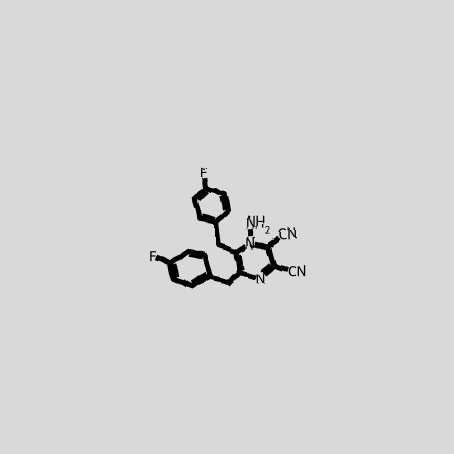 N#CC1=NC(Cc2ccc(F)cc2)=C(Cc2ccc(F)cc2)N(N)C1C#N